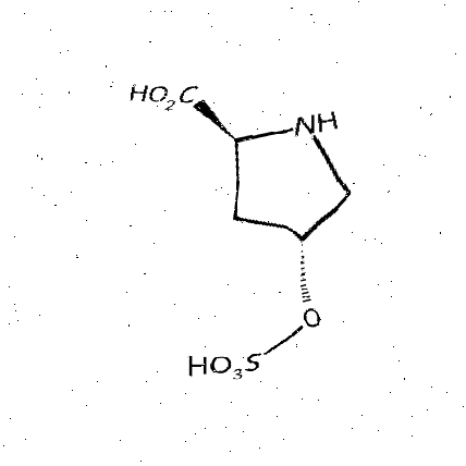 O=C(O)[C@@H]1C[C@@H](OS(=O)(=O)O)CN1